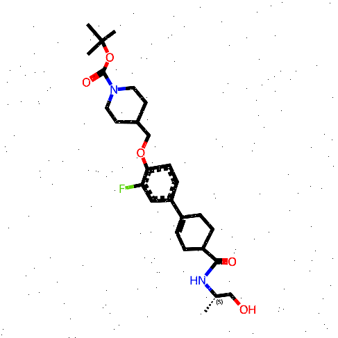 C[C@@H](CO)NC(=O)C1CC=C(c2ccc(OCC3CCN(C(=O)OC(C)(C)C)CC3)c(F)c2)CC1